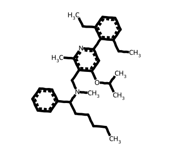 CCCCCC(c1ccccc1)N(C)Cc1c(OC(C)C)cc(-c2c(CC)cccc2CC)nc1C